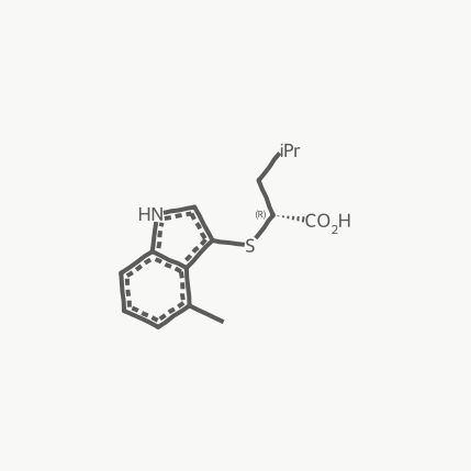 Cc1cccc2[nH]cc(S[C@H](CC(C)C)C(=O)O)c12